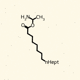 CCCCCCCCCCCCCCC(=O)OC(C)N